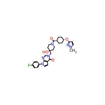 Cn1ccc(O[C@H]2CC[C@H](C(=O)N3CCC(O)(Cn4cnc5c(ccn5-c5ccc(F)cc5)c4=O)CC3)CC2)n1